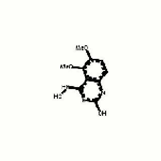 COc1ccc2nc(O)nc(NO)c2c1OC